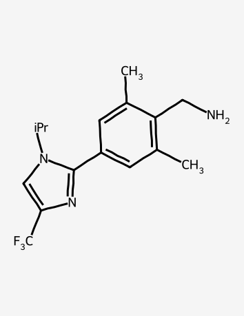 Cc1cc(-c2nc(C(F)(F)F)cn2C(C)C)cc(C)c1CN